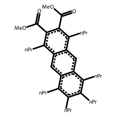 CCCc1c(CCC)c(CCC)c2cc3c(CCC)c(C(=O)OC)c(C(=O)OC)c(CCC)c3cc2c1CCC